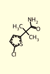 CC(C)(C(N)=O)c1ccc(Cl)s1